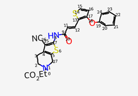 CCOC(=O)N1CCc2c(sc(NC(=O)/C=C/c3sccc3Oc3ccccc3)c2C#N)C1